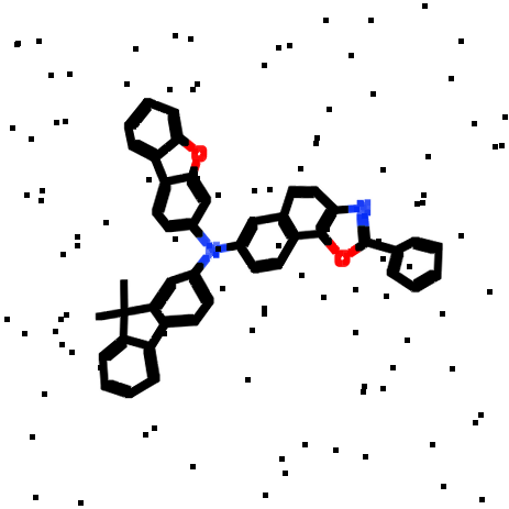 CC1(C)c2ccccc2-c2ccc(N(c3ccc4c(ccc5nc(-c6ccccc6)oc54)c3)c3ccc4c(c3)oc3ccccc34)cc21